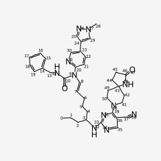 CCCC(CCC/C=C/N(C(=O)NCc1ccccc1)c1ccc(-c2cnn(C)c2)cn1)Nc1ncc(C#N)c(N2CCC3(CCC(=O)N3)CC2)n1